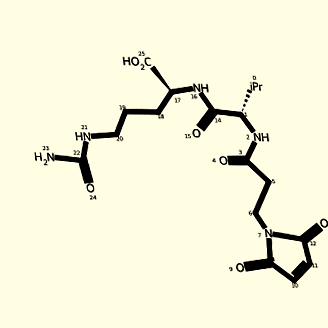 CC(C)[C@H](NC(=O)CCN1C(=O)C=CC1=O)C(=O)N[C@@H](CCCNC(N)=O)C(=O)O